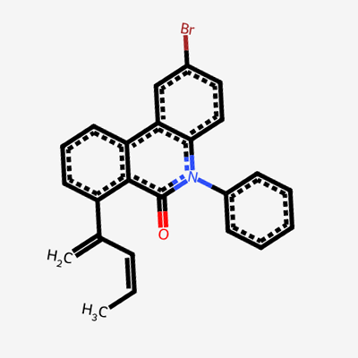 C=C(/C=C\C)c1cccc2c1c(=O)n(-c1ccccc1)c1ccc(Br)cc21